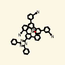 N#Cc1cccc(-c2ccc3c(c2)c2cc(-c4cccc(C#N)c4)ccc2n3-c2c(-c3ccccc3C#N)cc(-c3nc(-c4ccccc4)nc(-c4ccccc4)n3)cc2-c2ccccc2C#N)c1